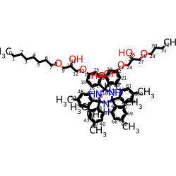 CCCCCCCCOCC(O)COc1ccc(C2(c3ccc(OCC(O)COCCCC)cc3O)NC(c3ccc(C)cc3C)(c3ccc(C)cc3C)NC(c3ccc(C)cc3C)(c3ccc(C)cc3C)N2)c(O)c1